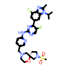 Cc1nc2c(F)cc(-c3nc(Nc4ccc(CN5CCO[C@@]6(CCN(S(C)(=O)=O)C6)C5)cn4)ncc3F)cc2n1C(C)C